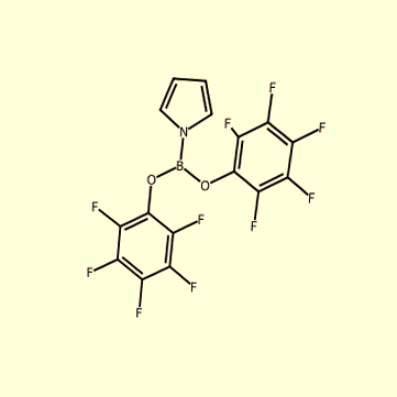 Fc1c(F)c(F)c(OB(Oc2c(F)c(F)c(F)c(F)c2F)n2cccc2)c(F)c1F